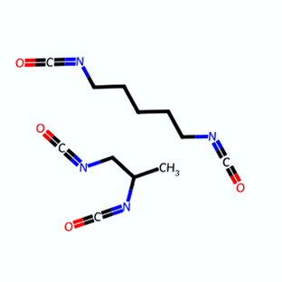 CC(CN=C=O)N=C=O.O=C=NCCCCCN=C=O